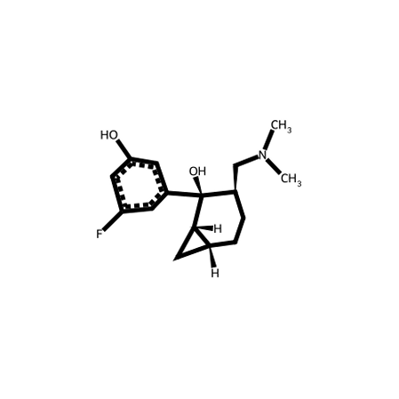 CN(C)C[C@H]1CC[C@@H]2C[C@@H]2[C@]1(O)c1cc(O)cc(F)c1